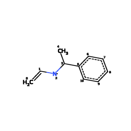 C=C[N]C(C)c1ccccc1